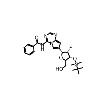 CC(C)(C)[Si](C)(C)O[C@H]1[C@@H](F)[C@H](c2cc3ncnc(NC(=O)c4ccccc4)n3c2)O[C@@H]1CO